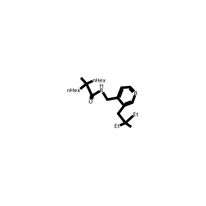 CCCCCCC(C)(CCCCCC)C(=O)BCc1ccbcc1CC(C)(CC)CC